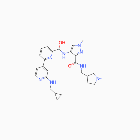 CN1CCC(CNC(=O)c2nn(C)cc2NC(O)c2cccc(-c3ccnc(NCC4CC4)c3)n2)C1